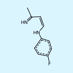 CC(=N)/C=C\Nc1ccc(F)cc1